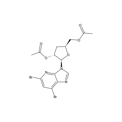 CC(=O)OC[C@@H]1C[C@@H](OC(C)=O)[C@H](n2cnc3c(Br)cc(Br)nc32)O1